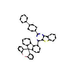 c1ccc(-c2ccc(-c3nc(-c4cccc5c4-c4ccccc4C54c5ccccc5Oc5ccccc54)c4sc5ccccc5c4n3)cc2)cc1